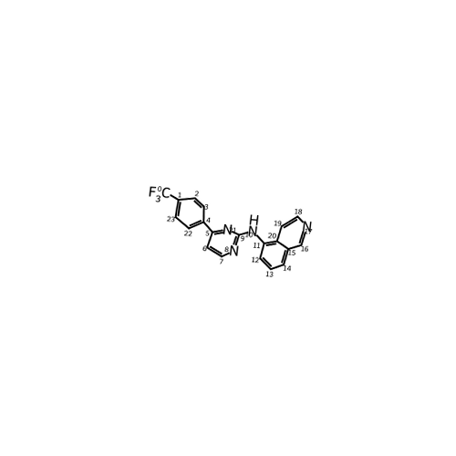 FC(F)(F)c1ccc(-c2ccnc(Nc3cccc4cnccc34)n2)cc1